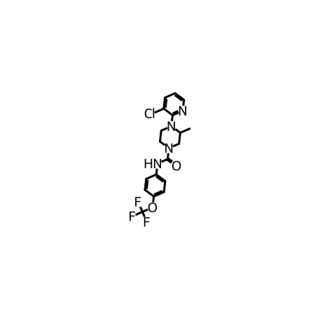 CC1CN(C(=O)Nc2ccc(OC(F)(F)F)cc2)CCN1c1ncccc1Cl